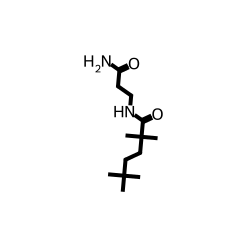 CC(C)(C)CCC(C)(C)C(=O)NCCC(N)=O